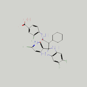 O=C(O)c1ccc(NC(=O)C(C2CCCCC2)C2(c3ccc(Cl)nc3)Nc3cc(F)c(F)cc3N2)c(Cl)c1